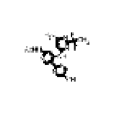 CC(=O)Nc1cc(Nc2cc(C)nc(C(C)(F)F)n2)c(-c2ncc(C#N)cn2)cn1